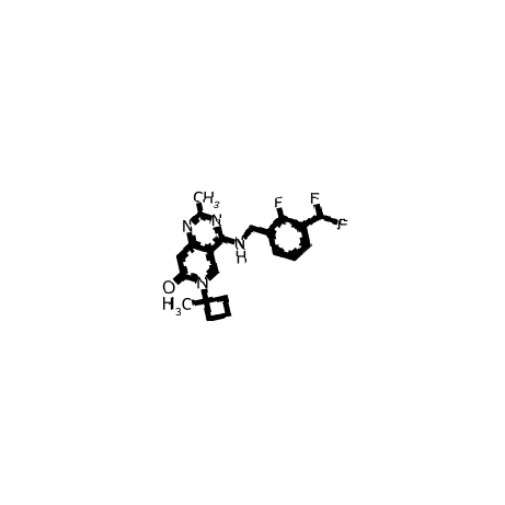 Cc1nc(NCc2cccc(C(F)F)c2F)c2cn(C3(C)CCC3)c(=O)cc2n1